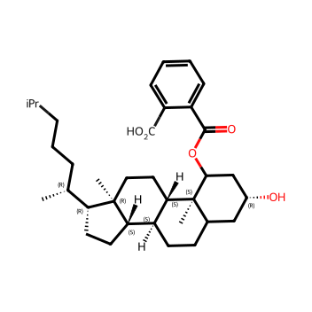 CC(C)CCC[C@@H](C)[C@H]1CC[C@H]2[C@@H]3CCC4C[C@@H](O)CC(OC(=O)c5ccccc5C(=O)O)[C@]4(C)[C@H]3CC[C@]12C